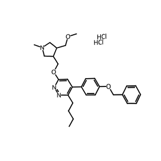 CCCCc1nnc(OCC2CN(C)CC2COC)cc1-c1ccc(OCc2ccccc2)cc1.Cl.Cl